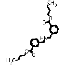 CCCCOC(=O)c1cccc(CNCc2cccc(C(=O)OCCCC)c2)c1